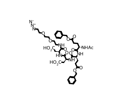 CC(=O)N[C@@H](CCC(=O)OCc1ccccc1)C(=O)N[C@@H](CCC(=O)OCc1ccccc1)C(=O)N[C@@H](CC(=O)O)C(=O)N[C@@H](CC(=O)O)C(=O)NCCOCCOCCN=[N+]=[N-]